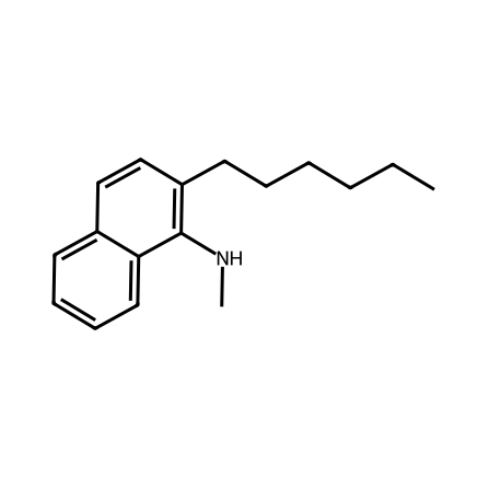 CCCCCCc1ccc2ccccc2c1NC